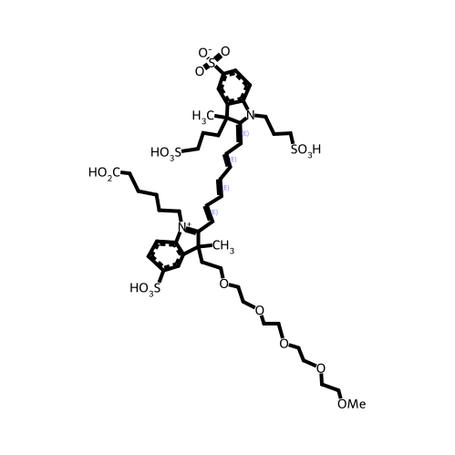 COCCOCCOCCOCCOCCC1(C)C(/C=C/C=C/C=C/C=C2/N(CCCS(=O)(=O)O)c3ccc(S(=O)(=O)[O-])cc3C2(C)CCCS(=O)(=O)O)=[N+](CCCCCC(=O)O)c2ccc(S(=O)(=O)O)cc21